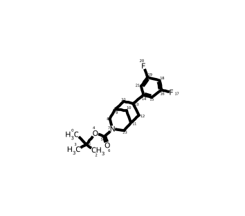 CC(C)(C)OC(=O)N1CC2CC(CC(c3cc(F)cc(F)c3)C2)C1